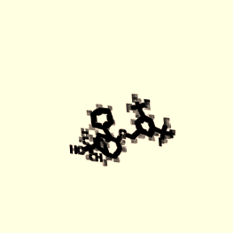 CC(C)(O)C1CC2(c3ccccc3)NC1CCC2OCc1cc(C(F)(F)F)cc(C(F)(F)F)c1